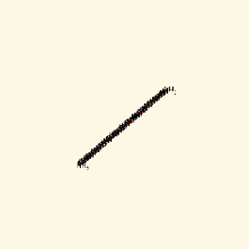 N/N=N/N=N/N=N/N=N/N=N/N=N/N=N/N=N/N=N/N=N/N=N/N=N/N=N/N=N/N=N/N=N/N=N/N=N/N=N/N=N/N=N/N=N/N=N/N=N/N=N/N=N/N=N/N=N/N=N/N=N/N=N/N=N/N=N/N=N/N=N/N=N/N=N/N=N/N=N/N=N/N=N/N=N/N=N/N